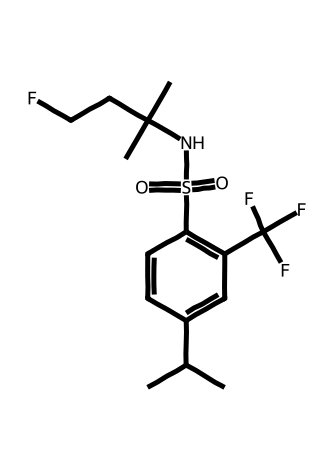 CC(C)c1ccc(S(=O)(=O)NC(C)(C)CCF)c(C(F)(F)F)c1